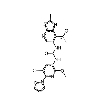 COc1nc(-n2cccn2)c(Cl)cc1NC(=O)Nc1cnc2sc(C)nc2c1[C@@H](C)OC